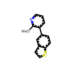 COc1ncccc1-c1ccc2sccc2c1